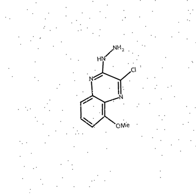 COc1cccc2nc(NN)c(Cl)nc12